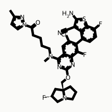 Cc1ccn(C(=O)CCCCN(C)c2nc(OC[C@@]34CCCN3C[C@H](F)C4)nc3c(F)c(-c4ccc(F)c5sc(N)c(C#N)c45)c(Cl)cc23)n1